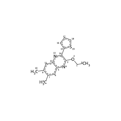 CCOc1nc2cc(C)c(C)cc2nc1-c1cccs1